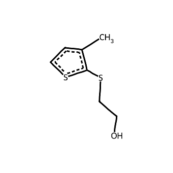 Cc1ccsc1SCCO